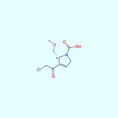 COC[C@H]1C(C(=O)CCl)=CCN1C(=O)O